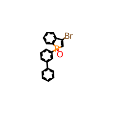 O=P1(c2cccc(-c3ccccc3)c2)C=C(Br)c2ccccc21